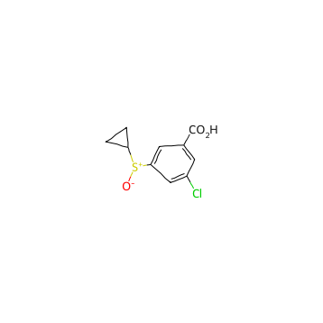 O=C(O)c1cc(Cl)cc([S+]([O-])C2CC2)c1